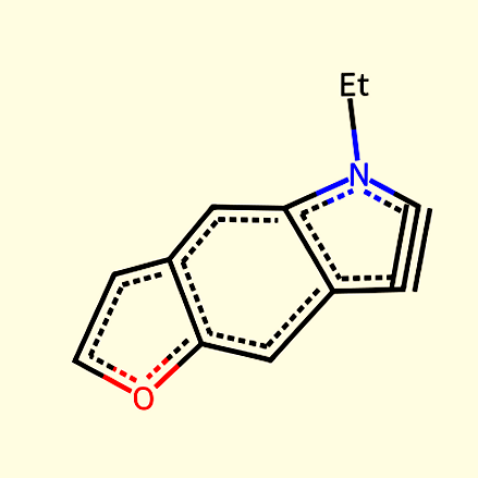 CCn1c#cc2cc3occc3cc21